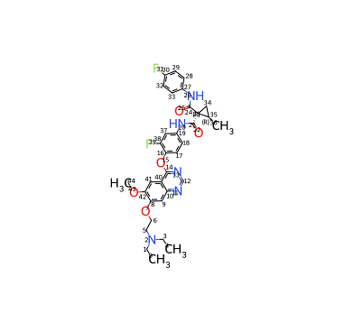 CCN(CC)CCOc1cc2ncnc(Oc3ccc(NC(=O)[C@]4(C(=O)Nc5ccc(F)cc5)C[C@H]4C)cc3F)c2cc1OC